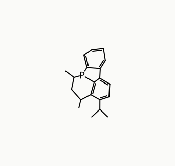 CC(C)c1ccc2c3ccccc3p3c2c1C(C)CC3C